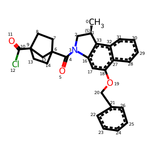 C[C@@H]1CN(C(=O)C23CCC(C(=O)Cl)(CC2)C3)c2cc(OCc3ccccc3)c3ccccc3c21